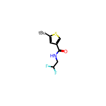 CC(C)(C)c1cc(C(=O)NCC(F)F)cs1